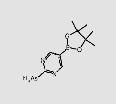 CC1(C)OB(c2cnc([AsH2])nc2)OC1(C)C